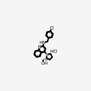 Cl.OC[C@H]1CCCN1c1cc(NCc2ccc(Cl)cc2)nc2ccccc12